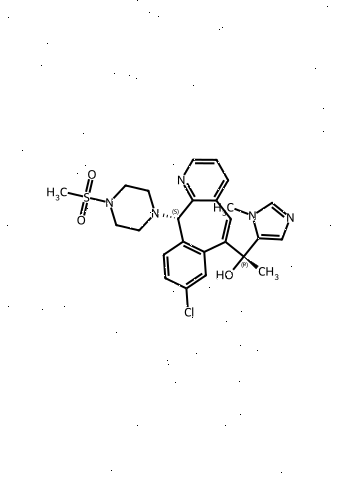 Cn1cncc1[C@](C)(O)C1=Cc2cccnc2[C@@H](N2CCN(S(C)(=O)=O)CC2)c2ccc(Cl)cc21